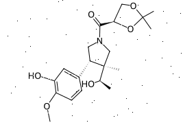 COc1ccc([C@@H]2CN(C(=O)[C@H]3COC(C)(C)O3)C[C@@]2(C)[C@@H](C)O)cc1O